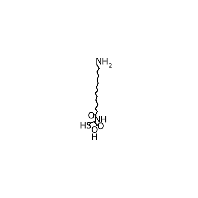 NCCCCCCCCCCCCCCC(=O)NC(CS)C(=O)O